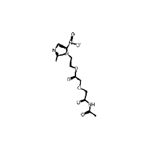 CC(=O)NC(=O)COCC(=O)OCCn1c([N+](=O)[O-])cnc1C